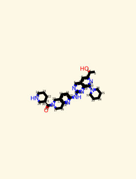 CC(O)c1cc2cnc(Nc3ccc4c(n3)CCN(C(=O)[C@@H]3CCCNC3)C4)nc2c(N2CCCCC2)n1